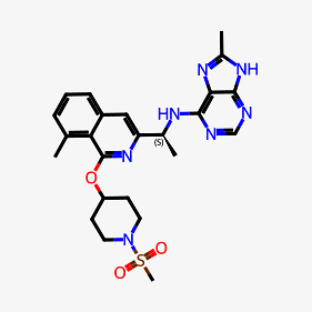 Cc1nc2c(N[C@@H](C)c3cc4cccc(C)c4c(OC4CCN(S(C)(=O)=O)CC4)n3)ncnc2[nH]1